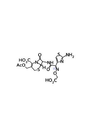 CC(=O)OCC1=C(C(=O)O)N2C(=O)C(NC(=O)/C(=N\OCC(=O)O)c3csc(N)n3)[C@H]2SC1